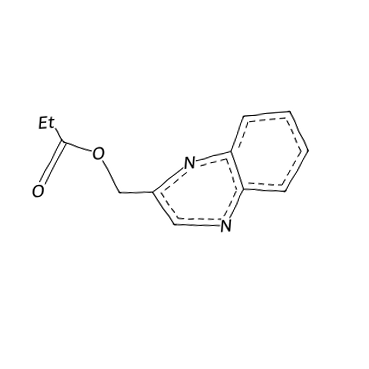 CCC(=O)OCc1cnc2ccccc2n1